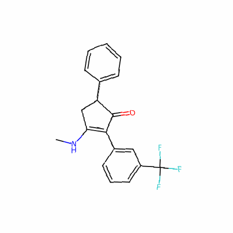 CNC1=C(c2cccc(C(F)(F)F)c2)C(=O)C(c2ccccc2)C1